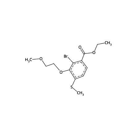 CCOC(=O)c1ccc(SC)c(OCCOC)c1Br